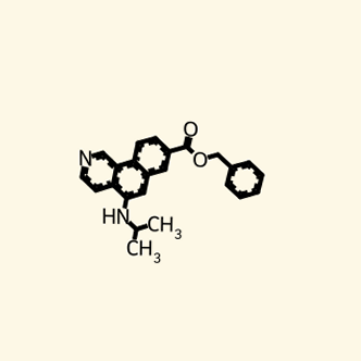 CC(C)Nc1cc2cc(C(=O)OCc3ccccc3)ccc2c2cnccc12